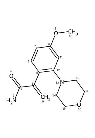 C=C(C(N)=O)c1ccc(OC)cc1N1CCOCC1